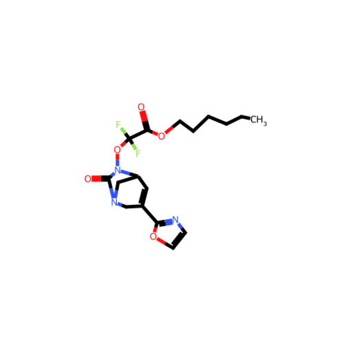 CCCCCCOC(=O)C(F)(F)ON1C(=O)N2CC(c3ncco3)=CC1C2